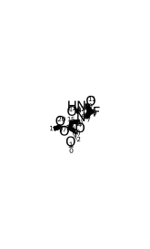 COC[C@H]1O[C@@H](n2cc(F)c(=O)[nH]c2=O)C[C@@H]1OC(C)=O